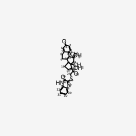 CC12C=CC(=O)C=C1CCC1C2[C@@H](O)CC2(C)C1CC[C@]2(O)C(=O)CSc1nc2ccccc2[nH]c1=O